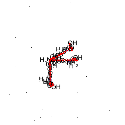 CO[C@]1(O)CC[C@@H](N/C=C(\N)COCCOCCOCCNC(=O)CCC(N)(CCC(=O)NCCOCCOCCOC/C(N)=C/N[C@@H]2CCCO[C@@H]2OCCO)CCC(=O)NCCOCCOCCOC/C(N)=C/N[C@@H]2CC[C@]3(CO)CO[C@@H]2O3)OC1